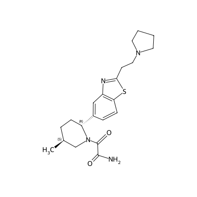 C[C@H]1CC[C@H](c2ccc3sc(CCN4CCCC4)nc3c2)N(C(=O)C(N)=O)C1